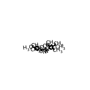 COc1cc(C(C)C)c(C)cc1-n1nnc(S(=O)(=O)c2ccc(C(C)(C)C)cc2)c1C